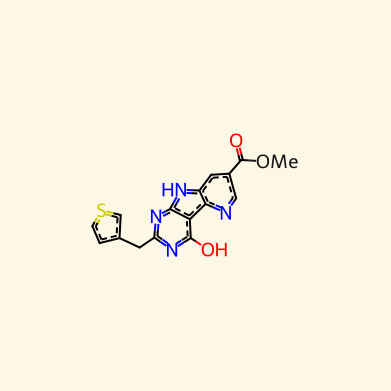 COC(=O)c1cnc2c(c1)[nH]c1nc(Cc3ccsc3)nc(O)c12